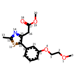 COCCOc1cccc(-c2sc(C)nc2CC(=O)OC)c1